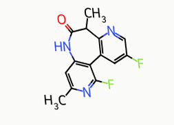 Cc1cc2c(c(F)n1)-c1cc(F)cnc1C(C)C(=O)N2